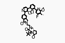 [CH2]c1c(F)cc(-c2cccc(-c3ccnc(-c4ccc5c(c4)CN(CCN(C[C@@H]4CCC(=O)N4)C(=O)OC(C)(C)C)C5=O)c3Cl)c2Cl)nc1OC